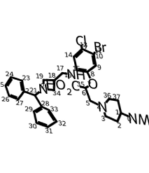 CNC1CCN(CC(Oc2cc(Br)c(Cl)cc2NCC2CN(C(c3ccccc3)c3ccccc3)C2)C(=O)O)CC1